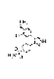 CSc1ccc(-c2c[nH]nc2-c2ccc(S(N)(=O)=O)cc2)cc1Cl